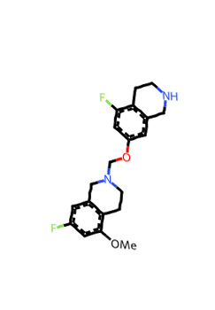 COc1cc(F)cc2c1CCN(COc1cc(F)c3c(c1)CNCC3)C2